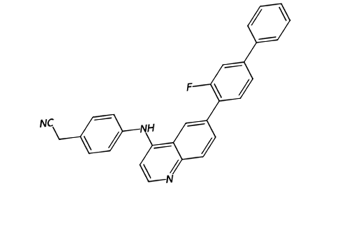 N#CCc1ccc(Nc2ccnc3ccc(-c4ccc(-c5ccccc5)cc4F)cc23)cc1